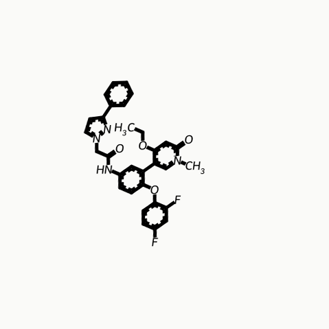 CCOc1cc(=O)n(C)cc1-c1cc(NC(=O)Cn2ccc(-c3ccccc3)n2)ccc1Oc1ccc(F)cc1F